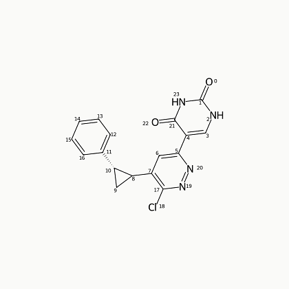 O=c1[nH]cc(-c2cc(C3C[C@@H]3c3ccccc3)c(Cl)nn2)c(=O)[nH]1